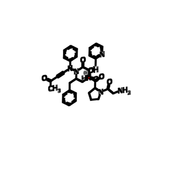 CC(=O)C#CN(c1ccccc1)N(C(=O)[C@H](Cc1ccccn1)NC(=O)C1CCCN1C(=O)CN)C(CC(=O)O)Cc1ccccc1